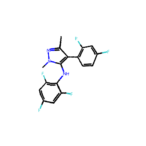 Cc1nn(C)c(Nc2c(F)cc(F)cc2F)c1-c1ccc(F)cc1F